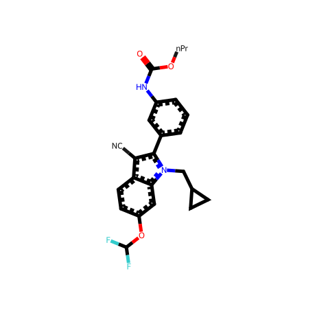 CCCOC(=O)Nc1cccc(-c2c(C#N)c3ccc(OC(F)F)cc3n2CC2CC2)c1